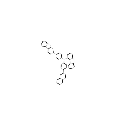 C1=CC(c2ccc(N(c3ccc(-c4ccc5ccccc5c4)cc3)c3cccc4sc5ccccc5c34)cc2)Nc2oc3ccccc3c21